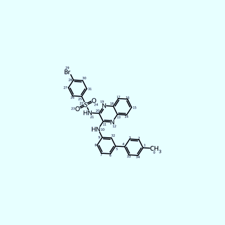 Cc1ccc(-c2cccc(Nc3nc4ccccc4nc3NS(=O)(=O)c3ccc(Br)cc3)c2)cc1